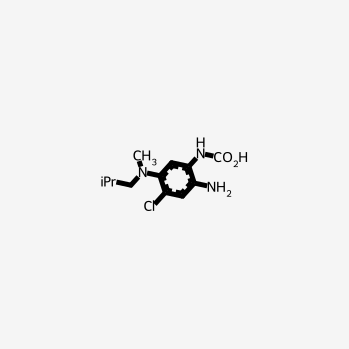 CC(C)CN(C)c1cc(NC(=O)O)c(N)cc1Cl